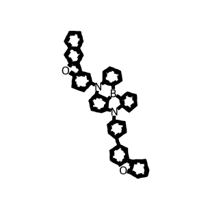 c1ccc2c(c1)B1c3ccccc3N(c3ccc4oc5cc6ccccc6cc5c4c3)c3cccc(c31)N2c1ccc(-c2ccc3oc4ccccc4c3c2)cc1